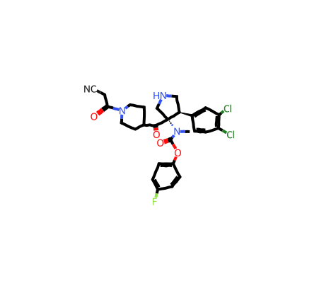 CN(C(=O)Oc1ccc(F)cc1)[C@]1(C(=O)C2CCN(C(=O)CC#N)CC2)CNC[C@H]1c1ccc(Cl)c(Cl)c1